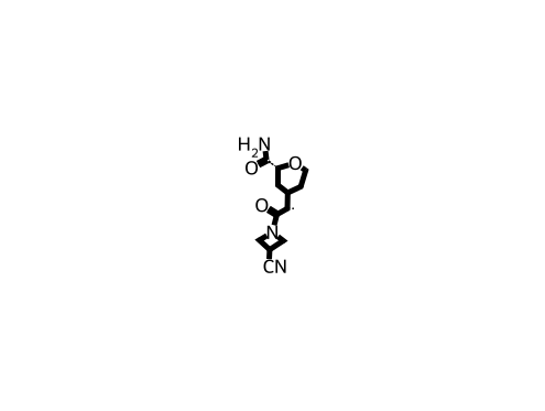 N#CC1CN(C(=O)[CH]C2CCO[C@@H](C(N)=O)C2)C1